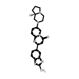 Cc1nc2cc(-c3cc(=O)n4cc(N5CCN6CCC[C@H]6C5)ccc4n3)ccc2s1